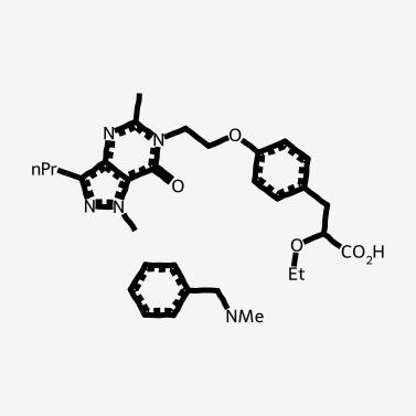 CCCc1nn(C)c2c(=O)n(CCOc3ccc(CC(OCC)C(=O)O)cc3)c(C)nc12.CNCc1ccccc1